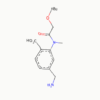 CCCCOCC(=O)N(C)c1cc(CN)ccc1C(=O)O